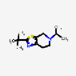 CC(C)N1CCc2nc(C(C)(C)C)sc2C1